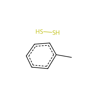 Cc1ccccc1.SS